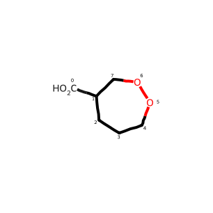 O=C(O)C1CCCOOC1